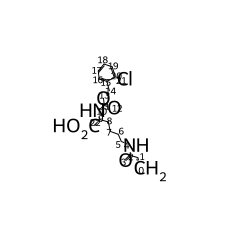 C=CC(=O)NCCCC[C@H](NC(=O)OCc1ccccc1Cl)C(=O)O